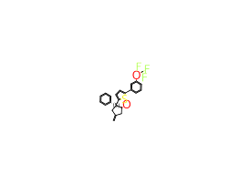 C=C1CC(=O)[C@](c2ccccc2)(c2ccc(-c3cccc(OC(F)(F)F)c3)s2)C1